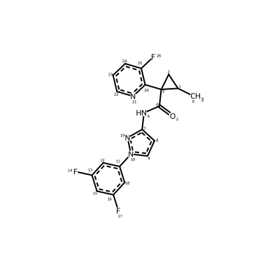 CC1CC1(C(=O)Nc1ccn(-c2cc(F)cc(F)c2)n1)c1ncccc1F